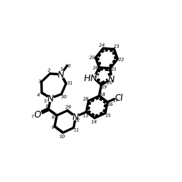 CN1CCCN(C(=O)C2CCCN(c3ccc(Cl)c(-c4nc5ccccc5[nH]4)c3)C2)CC1